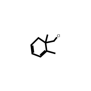 CC1=CC=CCC1(C)CCl